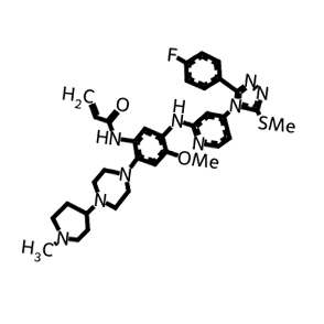 C=CC(=O)Nc1cc(Nc2cc(-n3c(SC)nnc3-c3ccc(F)cc3)ccn2)c(OC)cc1N1CCN(C2CCN(C)CC2)CC1